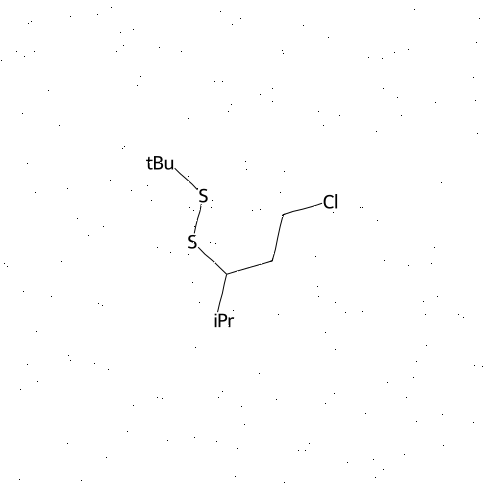 CC(C)C(CCCl)SSC(C)(C)C